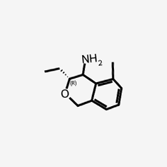 CC[C@H]1OCc2cccc(C)c2C1N